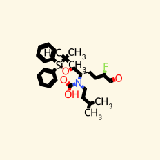 CC(C)CCN(C(=O)O)[C@@H](CCC(F)C=O)CO[Si](c1ccccc1)(c1ccccc1)C(C)(C)C